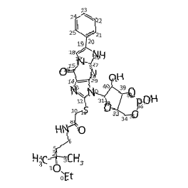 CCOC(C)(C)CCNC(=O)CSc1nc2c(=O)n3cc(-c4ccccc4)[nH]c3nc2n1C1OC2COP(O)OC2C1O